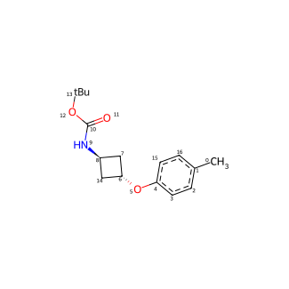 Cc1ccc(O[C@H]2C[C@H](NC(=O)OC(C)(C)C)C2)cc1